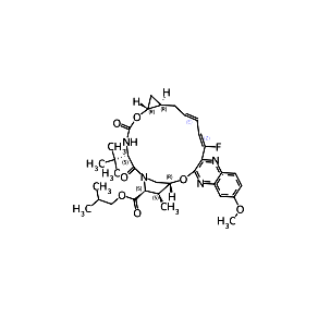 COc1ccc2nc3c(nc2c1)O[C@H]1CN(C(=O)[C@H](C(C)(C)C)NC(=O)O[C@@H]2C[C@H]2C/C=C/C=C/3F)[C@H](C(=O)OCC(C)C)[C@@H]1C